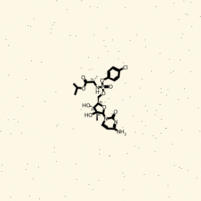 CC(C)OC(=O)[C@H](C)NP(=O)(OC[C@H]1OC(n2ccc(N)nc2=O)[C@](C)(O)[C@@H]1O)Oc1ccc(Cl)cc1